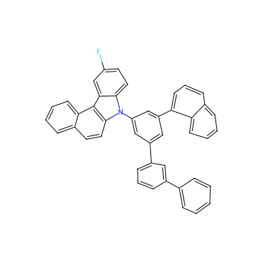 Fc1ccc2c(c1)c1c3ccccc3ccc1n2-c1cc(-c2cccc(-c3ccccc3)c2)cc(-c2cccc3ccccc23)c1